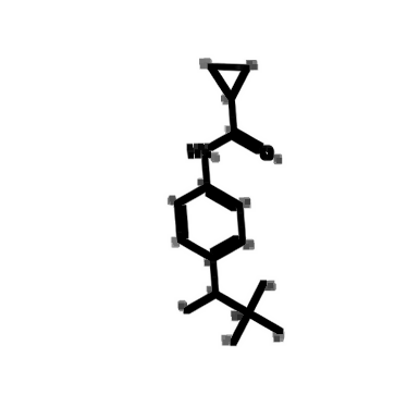 CC(c1ccc(NC(=O)C2CC2)cc1)C(C)(C)C